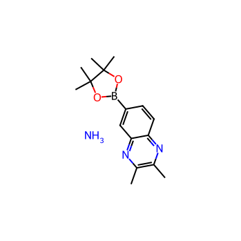 Cc1nc2ccc(B3OC(C)(C)C(C)(C)O3)cc2nc1C.N